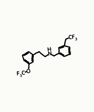 FC(F)(F)Cc1cccc(CNCCc2cccc(OC(F)(F)F)c2)c1